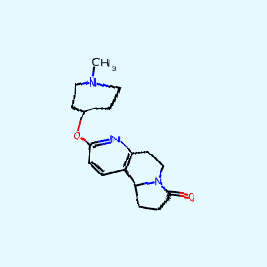 CN1CCC(Oc2ccc3c(n2)CCN2C(=O)CCC32)CC1